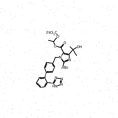 CCCCc1nc(C(C)(C)O)c(C(=O)OC(C)OC(=O)OCC)n1Cc1ccc(-c2ccccc2-c2nnn[nH]2)cc1